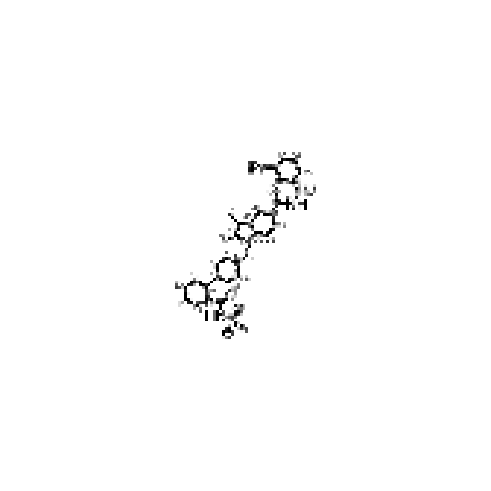 Cc1c(C)n(Cc2ccc(-c3ccccc3C(=O)NS(C)(=O)=O)cc2)c2ccc(C(=O)N[C@@H](C)c3cccc(C(C)C)c3)cc12